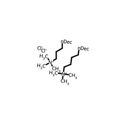 CCCCCCCCCCCCCC[N+](C)(C)C.CCCCCCCCCCCCC[N+](C)(C)C.[Cl-].[Cl-]